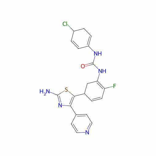 Nc1nc(-c2ccncc2)c(C2C=CC(F)=C(NC(=O)NC3=CCC(Cl)C=C3)C2)s1